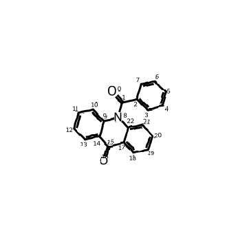 O=C(c1ccccc1)n1c2ccccc2c(=O)c2ccccc21